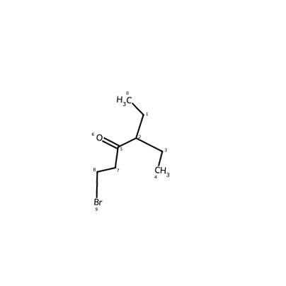 CCC(CC)C(=O)CCBr